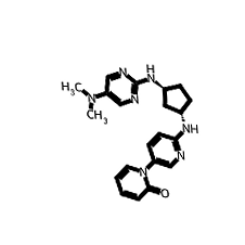 CN(C)c1cnc(N[C@H]2CC[C@H](Nc3ccc(-n4ccccc4=O)cn3)C2)nc1